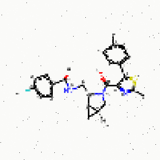 Cc1ccc(-c2sc(C)nc2C(=O)N2C[C@H]3CC3[C@H]2CNC(=O)c2ccc(F)cc2)cc1